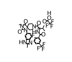 Cc1nc2ccc(N3C(=O)N(C)C(=O)C34CCN(C(=O)[C@H](NC(=O)c3cc(C(F)(F)F)ccc3F)C(C)C)CC4)cc2[nH]1.O=C(O)C(F)(F)F